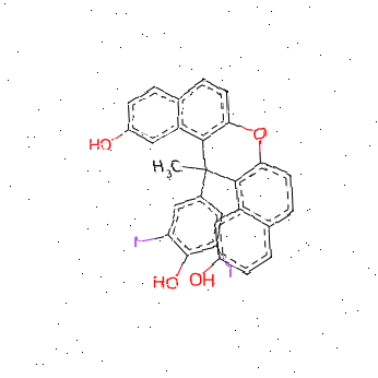 CC1(c2cc(I)c(O)c(I)c2)c2c(ccc3ccc(O)cc23)Oc2ccc3ccc(O)cc3c21